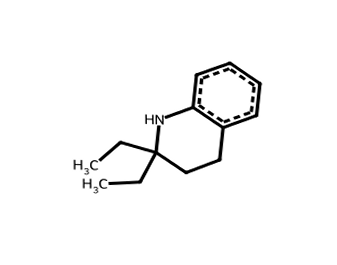 CCC1(CC)CCc2ccccc2N1